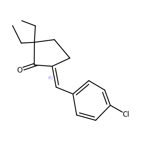 CCC1(CC)CC/C(=C\c2ccc(Cl)cc2)C1=O